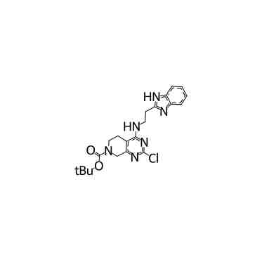 CC(C)(C)OC(=O)N1CCc2c(nc(Cl)nc2NCCc2nc3ccccc3[nH]2)C1